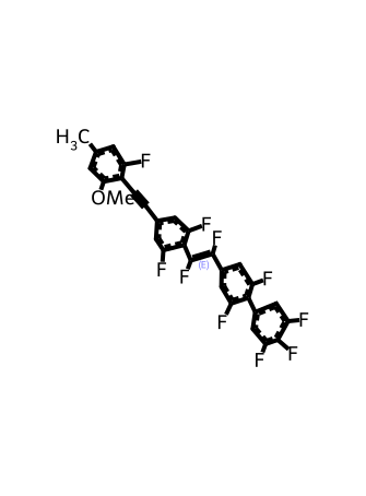 COc1cc(C)cc(F)c1C#Cc1cc(F)c(/C(F)=C(\F)c2cc(F)c(-c3cc(F)c(F)c(F)c3)c(F)c2)c(F)c1